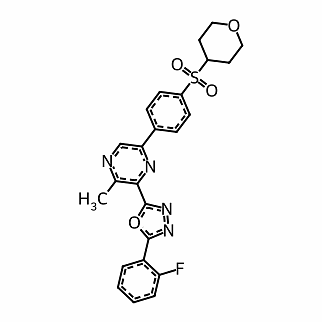 Cc1ncc(-c2ccc(S(=O)(=O)C3CCOCC3)cc2)nc1-c1nnc(-c2ccccc2F)o1